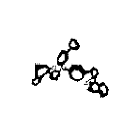 c1ccc(-c2cccc(N(c3ccc(-c4cccc5c4sc4ccc6ccccc6c45)cc3)c3cccc4c3oc3ccc5ccccc5c34)c2)cc1